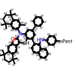 CCCCCc1ccc(Nc2c(-c3cc(-c4ccccc4)cc4c3Bc3c(oc5cc6c(cc35)C(C)(C)CCC6(C)C)N4c3cc4c(cc3C)C(C)(C)CCC4(C)C)ccc3ccccc23)cc1